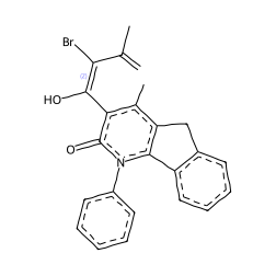 C=C(C)/C(Br)=C(/O)c1c(C)c2c(n(-c3ccccc3)c1=O)-c1ccccc1C2